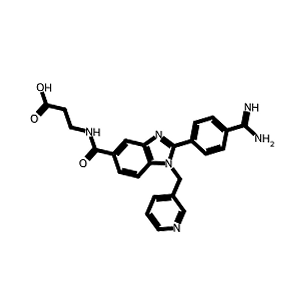 N=C(N)c1ccc(-c2nc3cc(C(=O)NCCC(=O)O)ccc3n2Cc2cccnc2)cc1